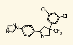 FC(F)(F)C1(c2cc(Cl)cc(Cl)c2)CN=C(c2ccc(-n3cncn3)cc2)C1